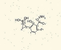 NOC(=O)c1c(F)ccc(C2C[C@H]2B(O)O)c1O